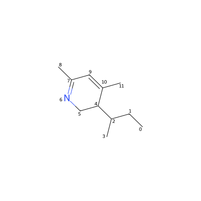 CCC(C)C1CN=C(C)C=C1C